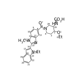 CCOC1CCN(C(=O)c2ccc3c(c2)nc(-c2cc4ccccc4n2CC)n3C)CC1NC(=O)O